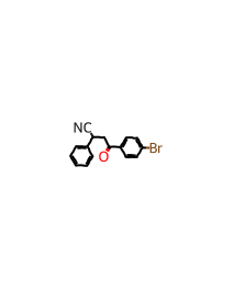 N#CC(CC(=O)c1ccc(Br)cc1)c1ccccc1